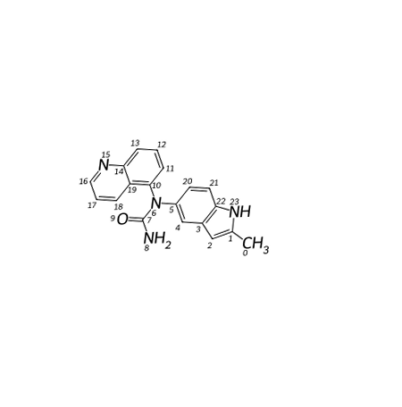 Cc1cc2cc(N(C(N)=O)c3cccc4ncccc34)ccc2[nH]1